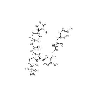 CS(=O)(=O)N1CCc2c(c(-c3ccc(C(F)(F)F)c(SCCNC(=O)Cc4ccc(F)cc4)c3)nn2CC(O)CN2CCC(N3CCCC3=O)CC2)C1